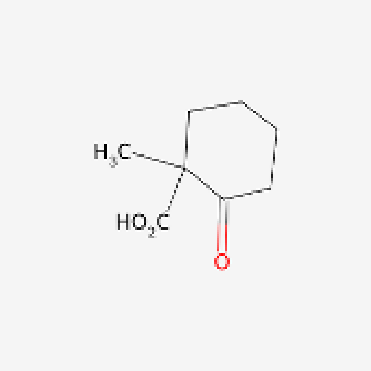 CC1(C(=O)O)CCCCC1=O